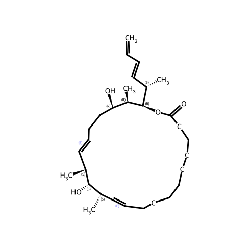 C=CC=C[C@H](C)[C@H]1OC(=O)CCCCCCCC/C=C/[C@H](C)[C@H](O)[C@@H](C)/C=C/CC[C@@H](O)[C@H]1C